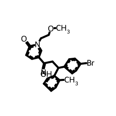 COCCn1cc(/C(CC(c2ccc(Br)cc2)c2ccccc2C)=N/O)ccc1=O